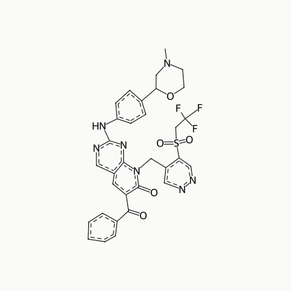 CN1CCOC(c2ccc(Nc3ncc4cc(C(=O)c5ccccc5)c(=O)n(Cc5cnncc5S(=O)(=O)CC(F)(F)F)c4n3)cc2)C1